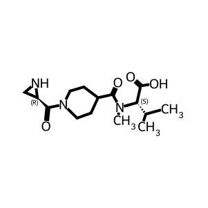 CC(C)[C@@H](C(=O)O)N(C)C(=O)C1CCN(C(=O)[C@H]2CN2)CC1